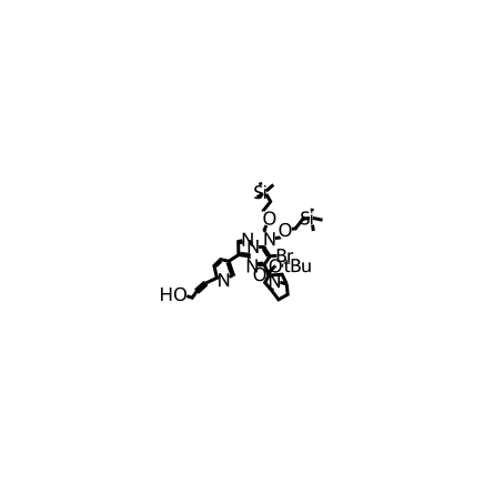 CC(C)(C)OC(=O)N1C2CCC1CC(c1nc3c(-c4ccc(C#CCO)nc4)cnn3c(N(COCC[Si](C)(C)C)COCC[Si](C)(C)C)c1Br)C2